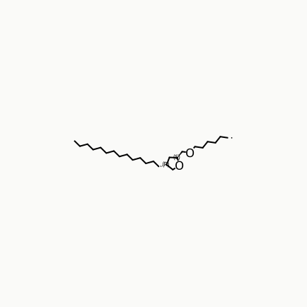 [CH2]CCCCCOC[C@@H]1C[C@@H](CCCCCCCCCCCCCC)CO1